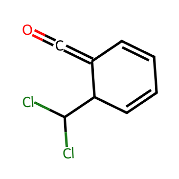 O=C=C1C=CC=CC1C(Cl)Cl